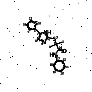 CC(C)(Sc1nnc(-c2cccs2)[nH]1)C(=O)Nc1ccccc1